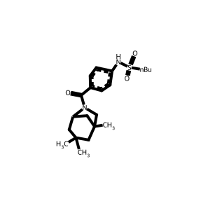 CCCCS(=O)(=O)Nc1ccc(C(=O)N2CC3(C)CC2CC(C)(C)C3)cc1